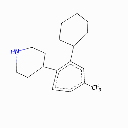 FC(F)(F)c1ccc(C2CCNCC2)c(C2CCCCC2)c1